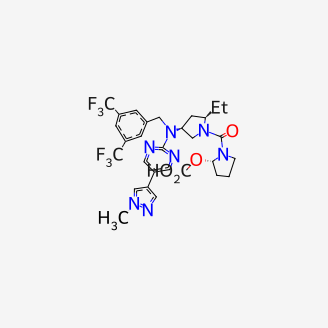 CC[C@@H]1C[C@H](N(Cc2cc(C(F)(F)F)cc(C(F)(F)F)c2)c2ncc(-c3cnn(C)c3)cn2)CN1C(=O)N1CCC[C@@H]1OC(=O)O